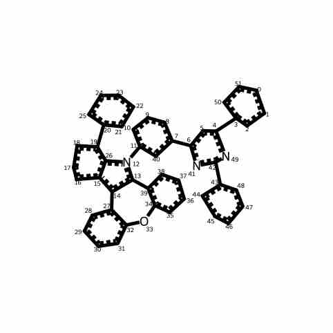 c1ccc(-c2cc(-c3cccc(-n4c5c(c6cccc(-c7ccccc7)c64)-c4ccccc4Oc4ccccc4-5)c3)nc(-c3ccccc3)n2)cc1